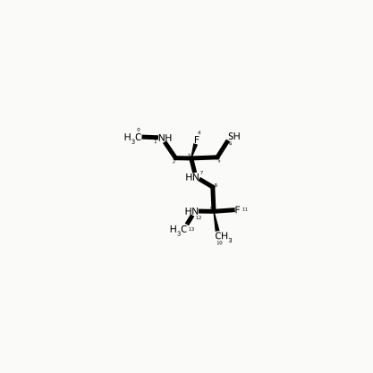 CNC[C@](F)(CS)NC[C@](C)(F)NC